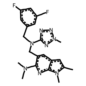 Cc1cc2cc(CN(Cc3cc(F)cc(F)c3)c3nnn(C)n3)c(N(C)C)nc2n1C